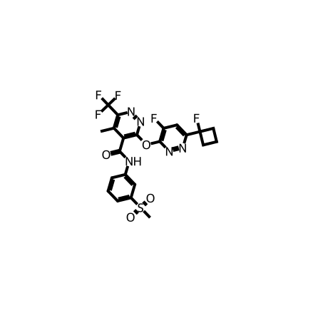 Cc1c(C(F)(F)F)nnc(Oc2nnc(C3(F)CCC3)cc2F)c1C(=O)Nc1cccc(S(C)(=O)=O)c1